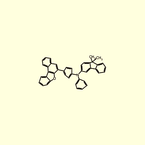 CC1(C)c2ccccc2-c2cc(N(c3ccccc3)c3ccc(-c4cc5ccccc5c5c4oc4ccccc45)cc3)ccc21